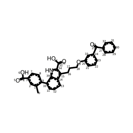 Cc1cc(C(=O)O)ccc1-c1cccc2c(CCCOc3cccc(C(=O)c4ccccc4)c3)c(C(=O)O)[nH]c12